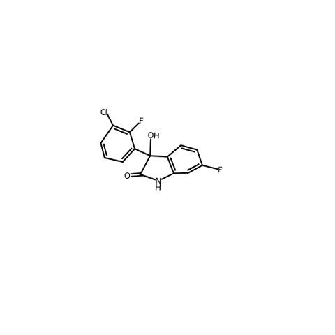 O=C1Nc2cc(F)ccc2C1(O)c1cccc(Cl)c1F